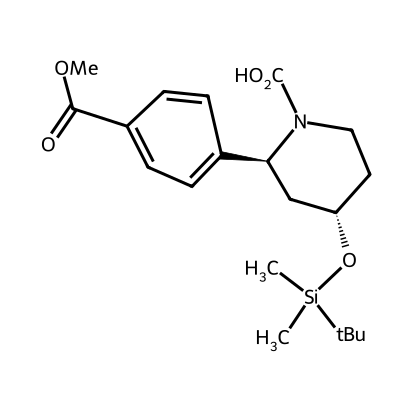 COC(=O)c1ccc([C@@H]2C[C@@H](O[Si](C)(C)C(C)(C)C)CCN2C(=O)O)cc1